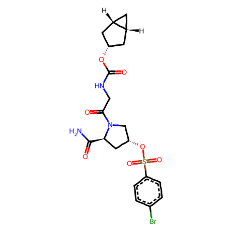 NC(=O)[C@@H]1C[C@@H](OS(=O)(=O)c2ccc(Br)cc2)CN1C(=O)CNC(=O)O[C@@H]1C[C@@H]2C[C@@H]2C1